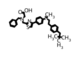 CN(CCc1ccc(CC(C)(C)C)cc1)c1ccc(-c2csc(CN(CC(=O)O)Cc3ccccc3)n2)cc1